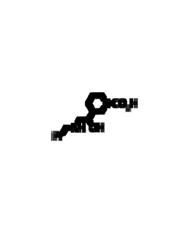 CC(C)CNCC(O)C1CCCN(C(=O)O)C1